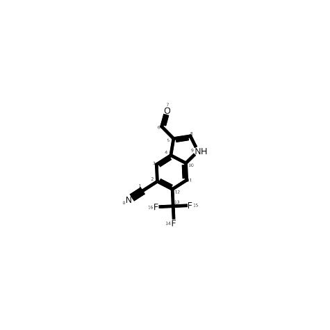 N#Cc1cc2c(C=O)c[nH]c2cc1C(F)(F)F